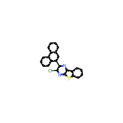 Clc1nc2sc3ccccc3c2nc1-c1cc2ccccc2c2ccccc12